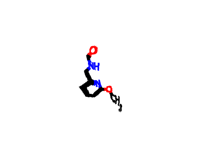 COc1cccc(CNC=O)n1